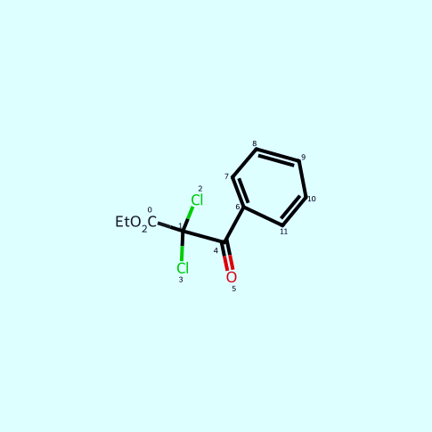 CCOC(=O)C(Cl)(Cl)C(=O)c1ccccc1